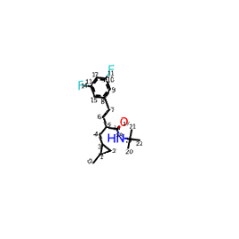 CC1CC1CC(CCc1cc(F)cc(F)c1)C(=O)NC(C)(C)C